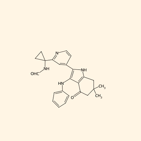 CC1(C)CC(=O)c2c([nH]c(-c3ccnc(C4(NC=O)CC4)c3)c2Nc2ccccc2)C1